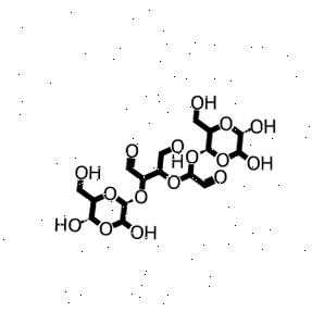 O=CC(OC(CO)C(C=O)O[C@H]1OC(CO)[C@@H](O)OC1O)O[C@H]1OC(O)[C@@H](O)OC1CO